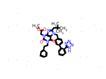 COC(=O)Cn1c(=O)n(CCc2ccccc2)c(=O)c2c1nc(CC(C)(C)C)n2Cc1ccc(-c2ccccc2-c2nnn[nH]2)cc1